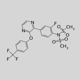 CS(=O)(=O)N(c1ccc(-c2nccnc2Oc2ccc(C(F)(F)F)cc2)cc1F)S(C)(=O)=O